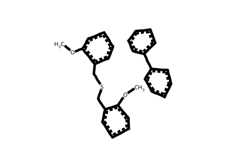 COc1ccccc1CSCc1ccccc1OC.c1ccc(-c2ccccc2)cc1